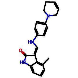 Cc1cccc2c1C(=CNc1ccc(N3CC=CCC3)cc1)C(=O)N2